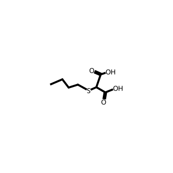 CCCCSC(C(=O)O)C(=O)O